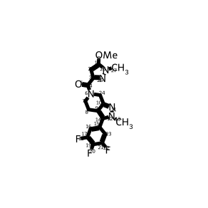 COc1cc(C(=O)N2CCc3c(nn(C)c3-c3cc(F)c(F)c(F)c3)C2)nn1C